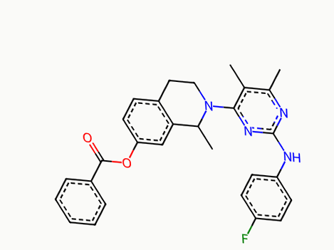 Cc1nc(Nc2ccc(F)cc2)nc(N2CCc3ccc(OC(=O)c4ccccc4)cc3C2C)c1C